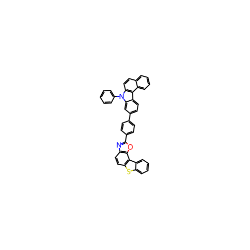 c1ccc(-n2c3cc(-c4ccc(-c5nc6ccc7sc8ccccc8c7c6o5)cc4)ccc3c3c4ccccc4ccc32)cc1